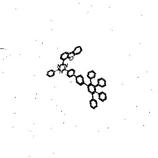 c1ccc(-c2nc(-c3ccc(-c4ccc(-c5cc(-c6ccccc6)c(-c6ccccc6)c(-c6ccccc6)c5-c5ccccc5)cc4)cc3)nc(-c3cccc4c3oc3ccccc34)n2)cc1